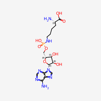 Nc1ncnc2c1ncn2[C@@H]1O[C@H](COP(=O)(O)NCCCC[C@H](N)C(=O)O)[C@@H](O)[C@H]1O